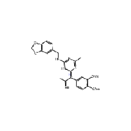 COc1ccc(/C(C(C)=N)=C2\N=C(C)N=C(NCc3ccc4c(c3)OCO4)N2)cc1OC